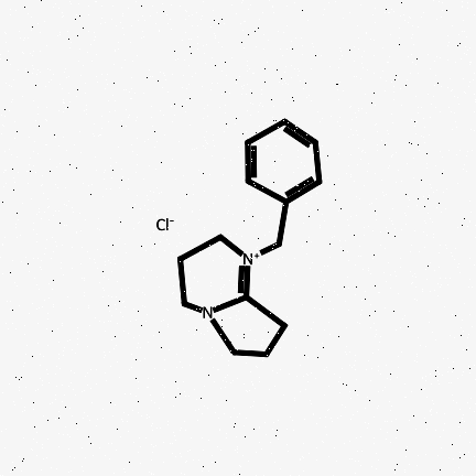 [Cl-].c1ccc(C[N+]2=C3CCCN3CCC2)cc1